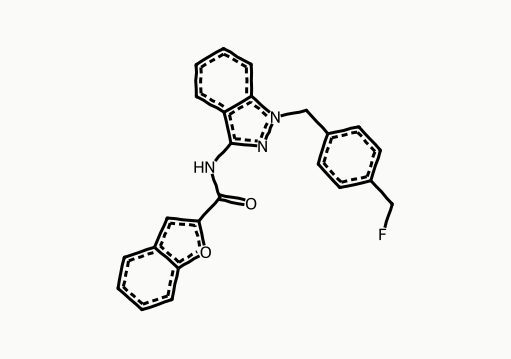 O=C(Nc1nn(Cc2ccc(CF)cc2)c2ccccc12)c1cc2ccccc2o1